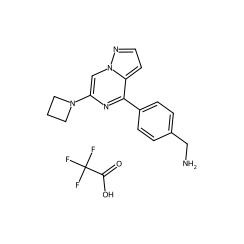 NCc1ccc(-c2nc(N3CCC3)cn3nccc23)cc1.O=C(O)C(F)(F)F